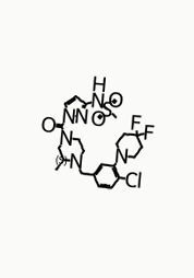 C[C@H]1CN(C(=O)n2ccc(NS(C)(=O)=O)n2)CCN1Cc1ccc(Cl)c(N2CCC(F)(F)CC2)c1